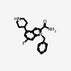 NC(=O)c1cc2c(C3CCNCC3)cc(F)cc2n1Cc1ccccc1